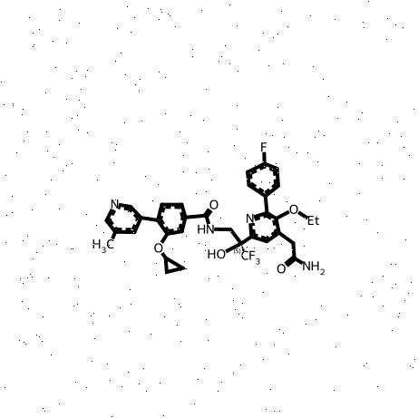 CCOc1c(CC(N)=O)cc([C@@](O)(CNC(=O)c2ccc(-c3cncc(C)c3)c(OC3CC3)c2)C(F)(F)F)nc1-c1ccc(F)cc1